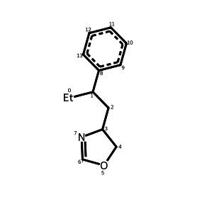 CCC(CC1CO[C]=N1)c1ccccc1